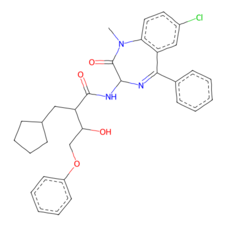 CN1C(=O)C(NC(=O)C(CC2CCCC2)C(O)COc2ccccc2)N=C(c2ccccc2)c2cc(Cl)ccc21